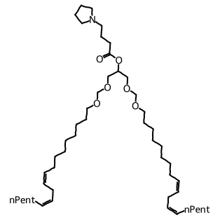 CCCCC/C=C\C/C=C\CCCCCCCCOCOCC(COCOCCCCCCCC/C=C\C/C=C\CCCCC)OC(=O)CCCN1CCCC1